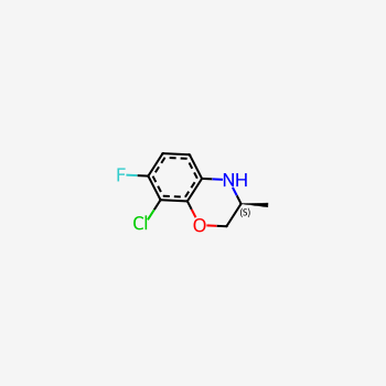 C[C@H]1COc2c(ccc(F)c2Cl)N1